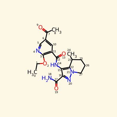 CCOc1ncc(C(C)=O)cc1C(=O)Nc1c(C(N)=O)nn2c1C(C)CCC2